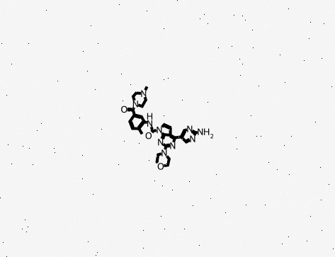 Cc1ccc(C(=O)N2CCN(C)CC2)cc1NC(=O)n1ccc2c(-c3cnc(N)nc3)nc(N3CCOCC3)nc21